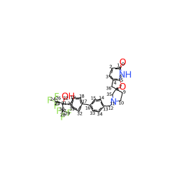 O=c1ccc2c([nH]1)OC1(CCN(Cc3ccc(-c4ccc(C(O)(C(F)(F)F)C(F)(F)F)cc4)cc3)C1)C2